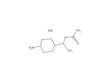 CC(=O)OC(C)C1CCC(N)CC1.Cl